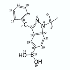 CC(C)(C)n1nc(Cc2ccccc2)c2cc(B(O)O)ccc21